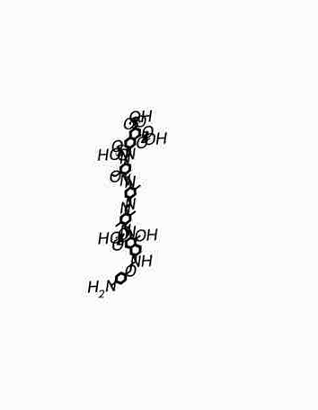 COc1cc(N=Nc2cc3c(S(=O)(=O)O)cc(S(=O)(=O)O)cc3cc2S(=O)(=O)O)ccc1N=Nc1ccc(N=Nc2cc(C)c(N=Nc3c(S(=O)(=O)O)cc4cc(NCOc5ccc(N)cc5)ccc4c3O)cc2C)cc1C